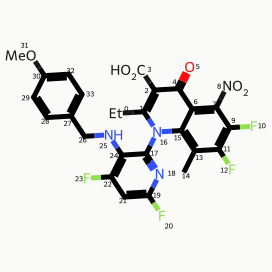 CCc1c(C(=O)O)c(=O)c2c([N+](=O)[O-])c(F)c(F)c(C)c2n1-c1nc(F)cc(F)c1NCc1ccc(OC)cc1